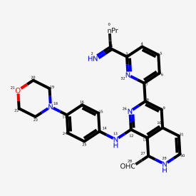 CCCC(=N)c1cccc(-c2cc3c(c(Nc4ccc(N5CCOCC5)cc4)n2)C(C=O)NC=C3)n1